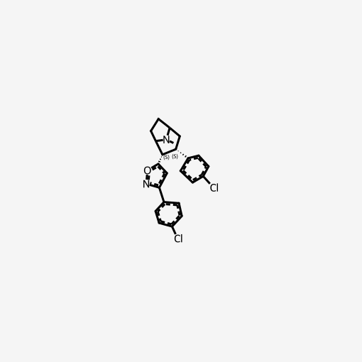 CN1C2CCC1[C@@H](c1cc(-c3ccc(Cl)cc3)no1)[C@@H](c1ccc(Cl)cc1)C2